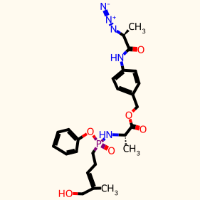 C/C(=C\CCP(=O)(N[C@@H](C)C(=O)OCc1ccc(NC(=O)[C@H](C)N=[N+]=[N-])cc1)Oc1ccccc1)CO